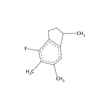 Cc1cc2c(c(F)c1C)CCC2C